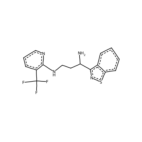 NC(CCNc1ncccc1C(F)(F)F)c1nsc2ccccc12